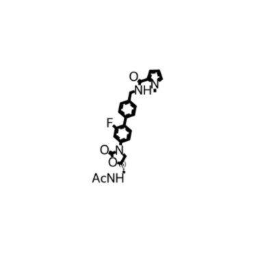 CC(=O)NC[C@H]1CN(c2ccc(-c3ccc(CNC(=O)c4cccn4C)cc3)c(F)c2)C(=O)O1